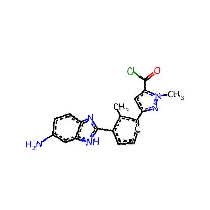 Cc1c(-c2cc(C(=O)Cl)n(C)n2)cccc1-c1nc2ccc(N)cc2[nH]1